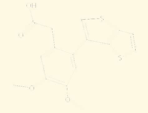 COc1cc(CC(=O)O)c(-c2csc3ccsc23)cc1OC